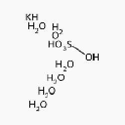 O.O.O.O.O.O.O=S(=O)(O)O.[KH]